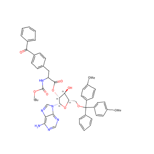 COc1ccc(C(OC[C@@H]2O[C@H](n3cnc4c(N)ncnc43)[C@H](OC(=O)C(Cc3ccc(C(=O)c4ccccc4)cc3)NC(=O)OC(C)(C)C)[C@H]2O)(c2ccccc2)c2ccc(OC)cc2)cc1